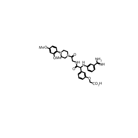 COc1ccc(N2CCN(C(=O)CNC(=O)C(Nc3cccc(C(=N)N)c3)c3cccc(OCC(=O)O)c3)CC2)c(OC)c1